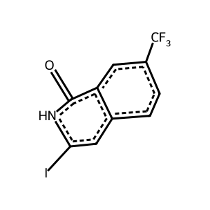 O=c1[nH]c(I)cc2ccc(C(F)(F)F)cc12